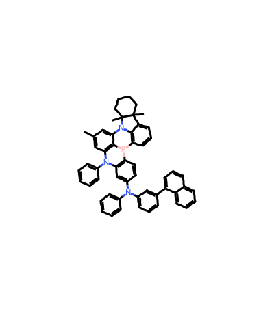 Cc1cc2c3c(c1)N1c4c(cccc4C4(C)CCCCC14C)B3c1ccc(N(c3ccccc3)c3cccc(-c4cccc5ccccc45)c3)cc1N2c1ccccc1